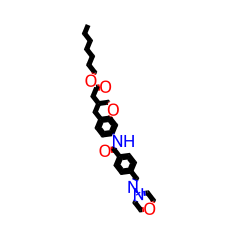 CCCCCCCOC(=O)CC1COc2cc(NC(=O)c3ccc(C=NN4CCOCC4)cc3)ccc2C1